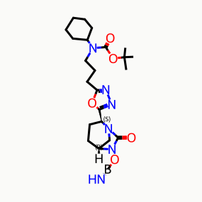 CC(C)(C)OC(=O)N(CCCc1nnc([C@@H]2CC[C@@H]3CN2C(=O)N3OB=N)o1)C1CCCCC1